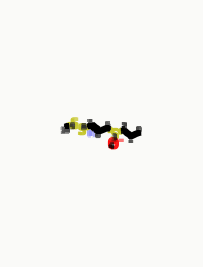 CCC[S+]([O-])C/C=C/SSC